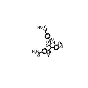 Cn1cc(C(C(=O)NS(=O)(=O)c2ccc(/C=C/C(=O)O)cc2)c2ccc3c(c2)OCO3)c2ccc(C(N)=O)cc21